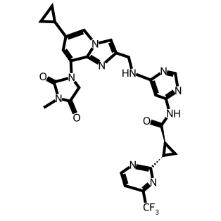 CN1C(=O)CN(c2cc(C3CC3)cn3cc(CNc4cc(NC(=O)[C@H]5C[C@@H]5c5nccc(C(F)(F)F)n5)ncn4)nc23)C1=O